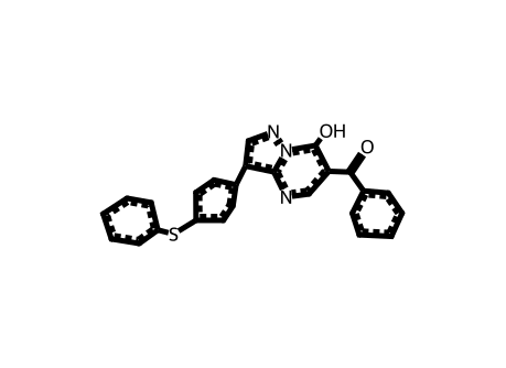 O=C(c1ccccc1)c1cnc2c(-c3ccc(Sc4ccccc4)cc3)cnn2c1O